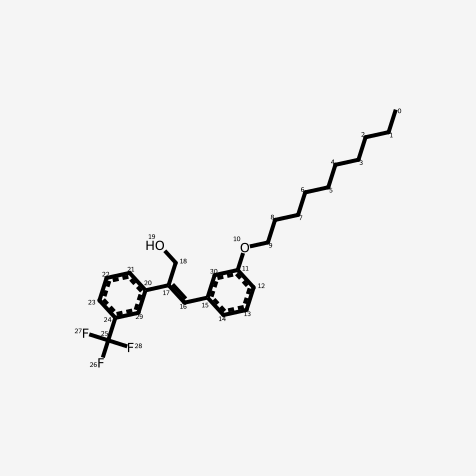 CCCCCCCCCCOc1cccc(/C=C(\CO)c2cccc(C(F)(F)F)c2)c1